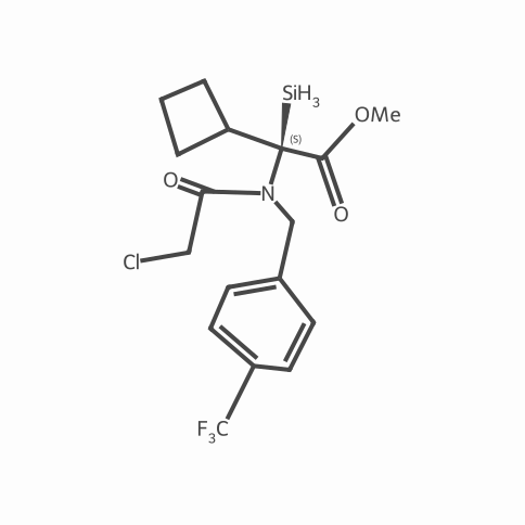 COC(=O)[C@@]([SiH3])(C1CCC1)N(Cc1ccc(C(F)(F)F)cc1)C(=O)CCl